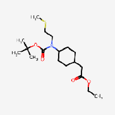 CCOC(=O)CC1CCC(N(CCSC)C(=O)OC(C)(C)C)CC1